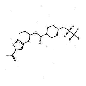 C=C(C)c1cc(OC(CC)OC(=O)C2CC=C(OS(=O)(=O)C(F)(F)F)CC2)ns1